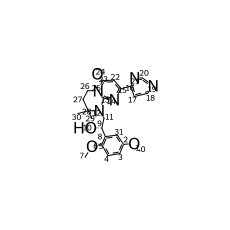 COc1ccc(OC)c([C@H](O)CN2c3nc(-c4ccncn4)cc(=O)n3CCC2(C)C)c1